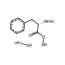 CCCO.CCCOC(=O)[C@H](Cc1ccccc1)NC(C)=O